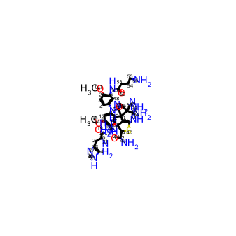 COc1ccc(NC(=O)C2(c3ccc(OC)c(NC(=O)C(N)Cc4c[nH]cn4)c3)C3=C(NC(N)(N)C2(C#N)C#N)SC(C(N)=O)C3(N)N)cc1NC(=O)CCCN